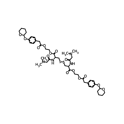 CN(C)CC(=O)NC(CSSCC(NC(=O)CN(C)C)C(=O)OCCOC(=O)Cc1ccc(OC2CCCCO2)cc1)C(=O)OCCOC(=O)Cc1ccc(OC2CCCCO2)cc1